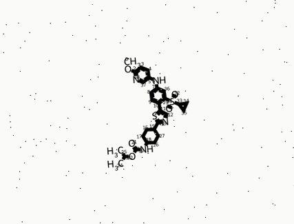 COc1ccc(Nc2ccc(-c3cnc(C4CCC(NC(=O)OC(C)C)CC4)s3)c(S(=O)(=O)C3CC3)c2)cn1